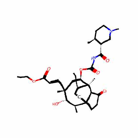 CCOC(=O)/C=C/[C@]1(C)C[C@@H](OC(=O)NC(=O)[C@H]2CN(C)CC[C@@H]2C)[C@@]2(C)C3C(=O)CCC3(CC[C@H]2C)[C@@H](C)[C@@H]1O